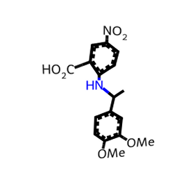 COc1ccc(C(C)Nc2ccc([N+](=O)[O-])cc2C(=O)O)cc1OC